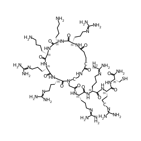 NCCCC[C@@H]1NC(=O)[C@H](CCCN=C(N)N)NC(=O)CCCC(=O)NCCN(CC(=O)N[C@@H](CCCN=C(N)N)C(=O)N[C@@H](CCCN=C(N)N)C(=O)N[C@@H](CCCN=C(N)N)C(=O)N[C@@H](CS)C(N)=O)C(=O)[C@H](CCCN=C(N)N)NC(=O)[C@H](CCCN=C(N)N)NC(=O)[C@H](CCCCN)NC1=O